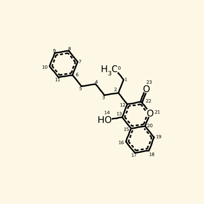 CCC(CCCc1ccccc1)c1c(O)c2ccccc2oc1=O